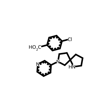 O=C(O)c1ccc(Cl)cc1.c1cncc(N2CCC3(CCCN3)C2)c1